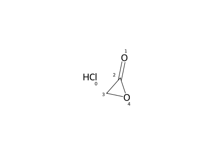 Cl.O=C1CO1